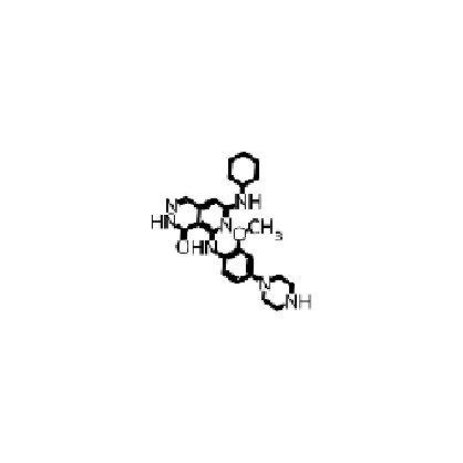 COc1cc(N2CCNCC2)ccc1Nc1nc(NC2CCCCC2)cc2cn[nH]c(=O)c12